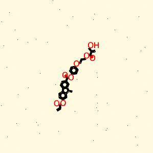 C=CC(=O)Oc1ccc2c(c1)C(C)c1cc(C(=O)Oc3ccc(OCCCOC(=O)C(=C)CO)cc3)ccc1-2